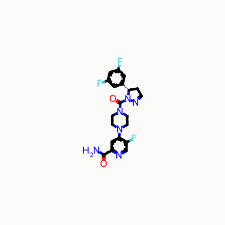 NC(=O)c1cc(N2CCN(C(=O)N3N=CC[C@H]3c3cc(F)cc(F)c3)CC2)c(F)cn1